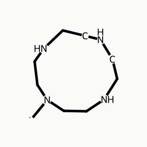 [CH2]N1CCNCCNCCNCC1